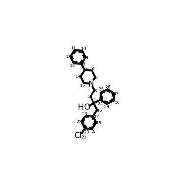 OC(CCN1CCC(c2ccccc2)CC1)(Cc1ccc(Cl)cc1)c1ccccc1